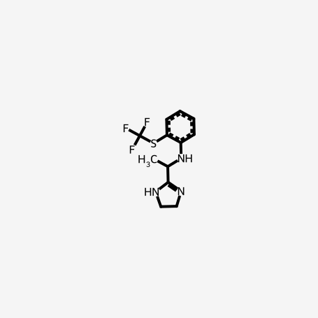 CC(Nc1ccccc1SC(F)(F)F)C1=NCCN1